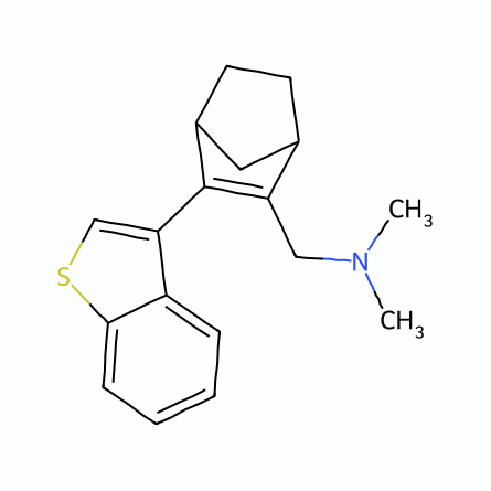 CN(C)CC1=C(c2csc3ccccc23)C2CCC1C2